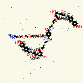 COC(=O)[C@@]1(OCCCSCCNC(=O)c2ccc(C(=O)NCCSCCCO[C@]3(C(=O)OC)C[C@H](O)C[C@H]([C@H](O)[C@H](O)CNC(=O)c4ccc(-c5ccc(O)cc5)cc4)O3)cc2OCCOCCOCCOCCOCCOCCN=[N+]=[N-])C[C@H](O)[C@@H](NC(C)=O)[C@H]([C@H](O)[C@H](O)CNC(=O)c2ccc(-c3ccc(O)cc3)cc2)O1